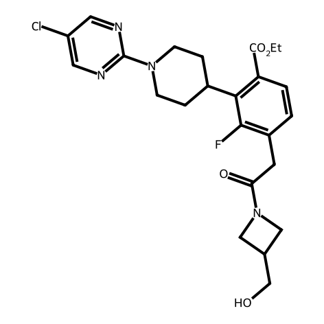 CCOC(=O)c1ccc(CC(=O)N2CC(CO)C2)c(F)c1C1CCN(c2ncc(Cl)cn2)CC1